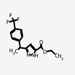 CCOC(=O)c1cc(C(C)c2ccc(C(F)(F)F)cc2)n[nH]1